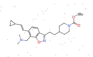 CN(C)Cc1c(C=CC2CC2)ccc2c(CCC3CCN(C(=O)OC(C)(C)C)CC3)noc12